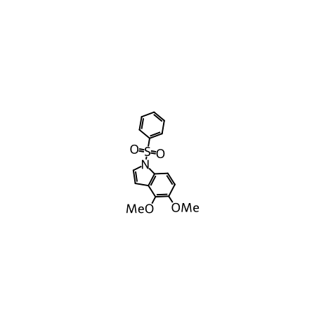 COc1ccc2c(ccn2S(=O)(=O)c2ccccc2)c1OC